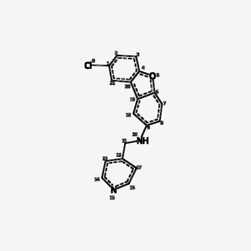 Clc1ccc2oc3ccc(NCc4ccncc4)cc3c2c1